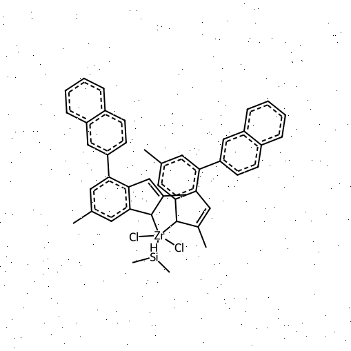 CC1=Cc2c(-c3ccc4ccccc4c3)cc(C)cc2[CH]1[Zr]([Cl])([Cl])([CH]1C(C)=Cc2c(-c3ccc4ccccc4c3)cc(C)cc21)[SiH](C)C